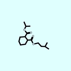 CC(C)CCOC(=O)C1CCCCC1C(=O)OC(C)C